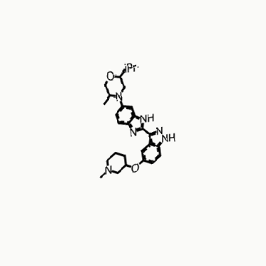 C[C](C)C1CN(c2ccc3nc(-c4n[nH]c5ccc(OC6CCCN(C)C6)cc45)[nH]c3c2)C(C)CO1